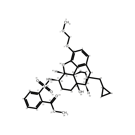 COCOc1ccc2c3c1O[C@H]1[C@H](NS(=O)(=O)c4ccccc4C(=O)OC)CCC4(O)[C@@H](C2)N(CC2CC2)CC[C@]314